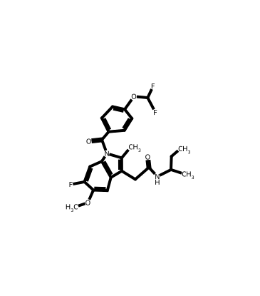 CCC(C)NC(=O)Cc1c(C)n(C(=O)c2ccc(OC(F)F)cc2)c2cc(F)c(OC)cc12